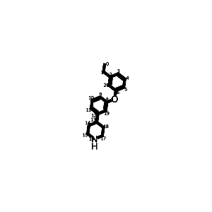 CCc1cccc(Oc2cccc(C3CCNCC3)c2)c1